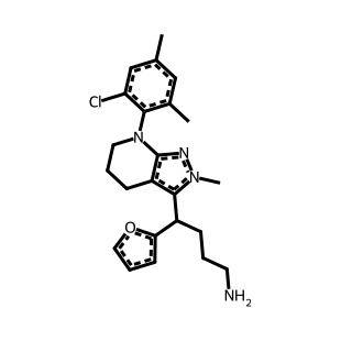 Cc1cc(C)c(N2CCCc3c2nn(C)c3C(CCCN)c2ccco2)c(Cl)c1